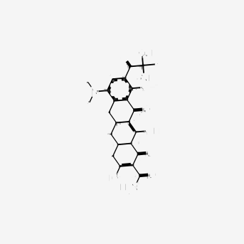 CN(C)c1cc(C(=O)C(C)(N)O)c(O)c2c1CC1CC3CC(O)=C(C(N)=O)C(=O)C3C(O)=C1C2=O